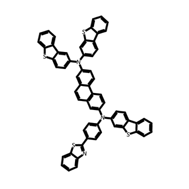 c1ccc2sc(-c3ccc(N(c4ccc5c(ccc6cc(N(c7ccc8c(c7)sc7ccccc78)c7ccc8sc9ccccc9c8c7)ccc65)c4)c4ccc5c(c4)sc4ccccc45)cc3)nc2c1